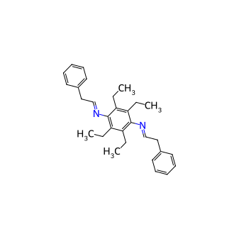 CCc1c(CC)c(N=CCc2ccccc2)c(CC)c(CC)c1N=CCc1ccccc1